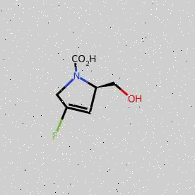 O=C(O)N1CC(F)=C[C@@H]1CO